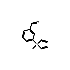 C=C[Si](C)(C=C)c1cccc(C=O)c1